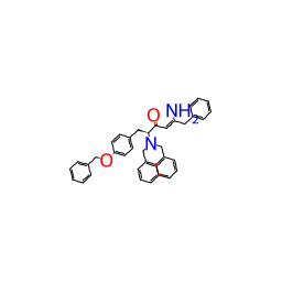 N/C(=C\C(=O)[C@H](Cc1ccc(OCc2ccccc2)cc1)N(Cc1ccccc1)Cc1ccccc1)Cc1ccccc1